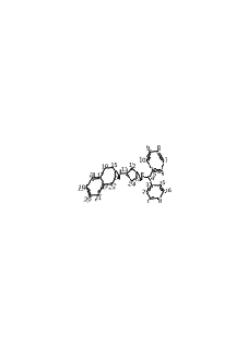 c1ccc(C(c2ccccc2)N2CC(N3CCc4ccccc4C3)C2)cc1